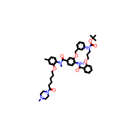 Cc1ccc(N(C)C(=O)c2ccc(NC(=O)c3ccccc3OCCCNC(=O)OC(C)(C)C)c(OCc3ccccc3)c2)c(OCCCCCC(=O)N2CCN(C)CC2)c1